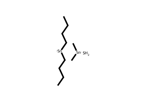 CCC[CH2][Sn][CH2]CCC.S.[CH3][Sn][CH3]